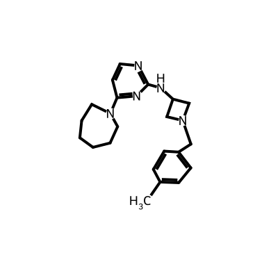 Cc1ccc(CN2CC(Nc3nccc(N4CCCCCC4)n3)C2)cc1